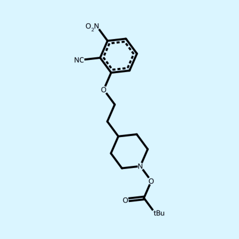 CC(C)(C)C(=O)ON1CCC(CCOc2cccc([N+](=O)[O-])c2C#N)CC1